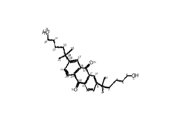 CC(C)(CCCCO)c1ccc2c(c1)C(=O)c1cc(C(C)(C)CCCCO)ccc1C2=O